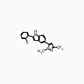 Cn1nc(C(F)(F)F)cc1-c1ccc2[nH]c(-c3ccccc3F)cc2c1